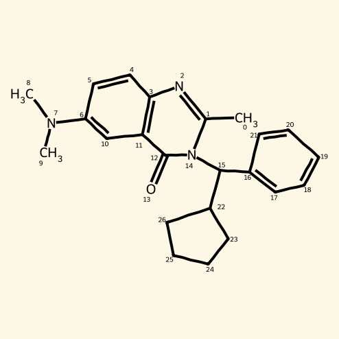 Cc1nc2ccc(N(C)C)cc2c(=O)n1C(c1ccccc1)C1CCCC1